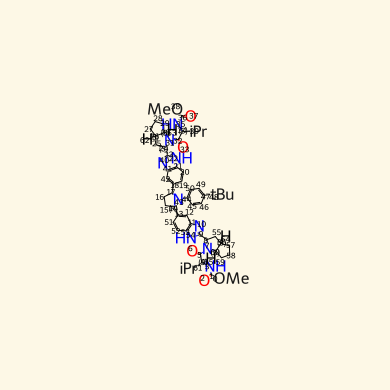 COC(=O)N[C@H](C(=O)N1C(c2nc3cc([C@H]4CCC(c5ccc6[nH]c([C@@H]7C[C@@H]8CCC[C@@H]8N7C(=O)[C@@H](NC(=O)OC)C(C)C)nc6c5)N4c4ccc(C(C)(C)C)cc4)ccc3[nH]2)C[C@@H]2CCC[C@@H]21)C(C)C